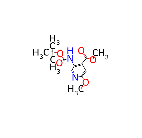 COC(=O)c1cc(OC)ncc1NC(=O)OC(C)(C)C